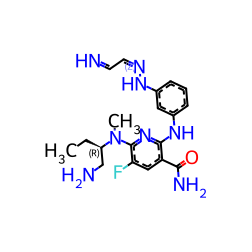 CC[C@H](CN)N(C)c1nc(Nc2cccc(N/N=C\C=N)c2)c(C(N)=O)cc1F